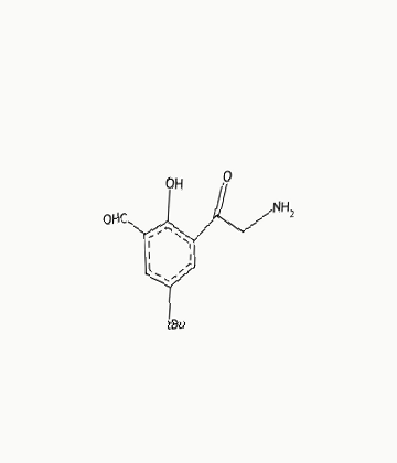 CC(C)(C)c1cc(C=O)c(O)c(C(=O)CN)c1